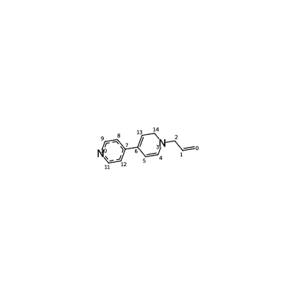 C=CCN1C=CC(c2ccncc2)=CC1